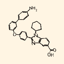 Nc1ccc(-c2cccc(Oc3ccc(-c4nc5cc(C(=O)O)ccc5n4C4CCCCC4)cc3)c2)cc1